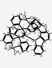 C[Si]1(C)c2ccccc2C2(c3ccccc31)c1cc(-n3c4ccccc4c4ccc5oc6ccccc6c5c43)sc1C1(c3ccccc3[Si](C)(C)c3ccccc31)c1ccsc12